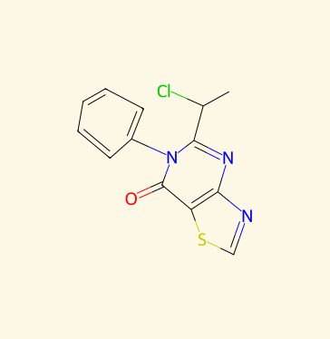 CC(Cl)c1nc2ncsc2c(=O)n1-c1ccccc1